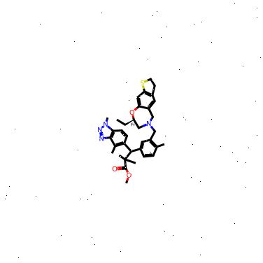 CC[C@@H]1CN(Cc2cc(C(c3ccc4c(nnn4C)c3C)C(C)(C)C(=O)OC)ccc2C)Cc2cc3c(cc2O1)SCC3